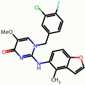 COc1cn(Cc2ccc(F)c(Cl)c2)c(Nc2ccc3occc3c2C)nc1=O